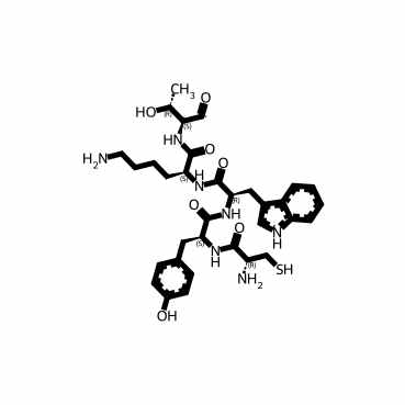 C[C@@H](O)[C@@H]([C]=O)NC(=O)[C@H](CCCCN)NC(=O)[C@@H](Cc1c[nH]c2ccccc12)NC(=O)[C@H](Cc1ccc(O)cc1)NC(=O)[C@@H](N)CS